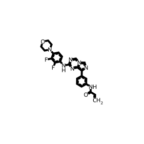 C=CC(=O)Nc1cccc(-c2ncn3cnc(Nc4ccc(N5CCOCC5)c(F)c4F)nc23)c1